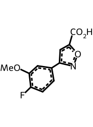 COc1cc(-c2cc(C(=O)O)on2)ccc1F